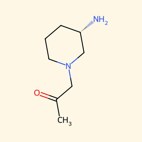 CC(=O)CN1CCC[C@H](N)C1